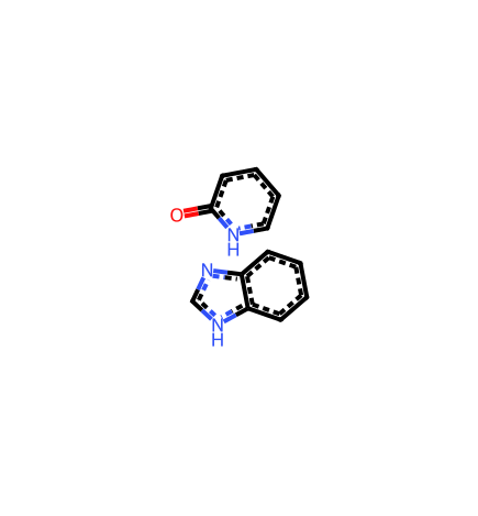 O=c1cccc[nH]1.c1ccc2[nH]cnc2c1